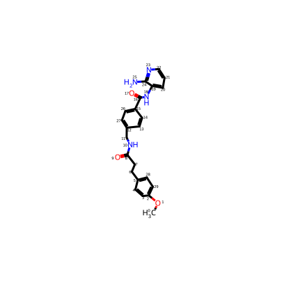 COc1ccc(CCC(=O)NCc2ccc(C(=O)Nc3cccnc3N)cc2)cc1